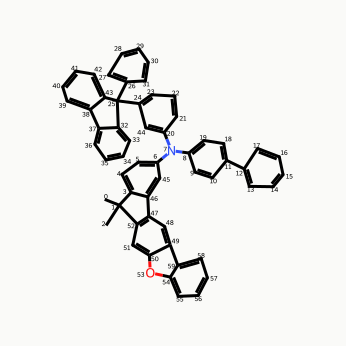 CC1(C)c2ccc(N(c3ccc(-c4ccccc4)cc3)c3cccc(C4(c5ccccc5)c5ccccc5-c5ccccc54)c3)cc2-c2cc3c(cc21)oc1ccccc13